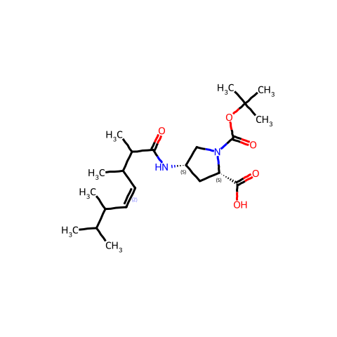 CC(C)C(C)/C=C\C(C)C(C)C(=O)N[C@H]1C[C@@H](C(=O)O)N(C(=O)OC(C)(C)C)C1